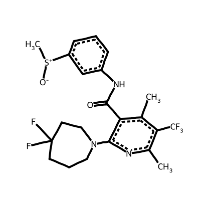 Cc1nc(N2CCCC(F)(F)CC2)c(C(=O)Nc2cccc([S+](C)[O-])c2)c(C)c1C(F)(F)F